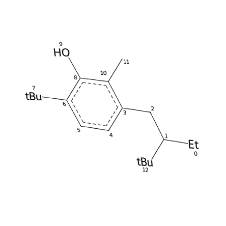 CCC(Cc1ccc(C(C)(C)C)c(O)c1C)C(C)(C)C